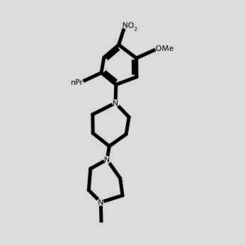 CCCc1cc([N+](=O)[O-])c(OC)cc1N1CCC(N2CCN(C)CC2)CC1